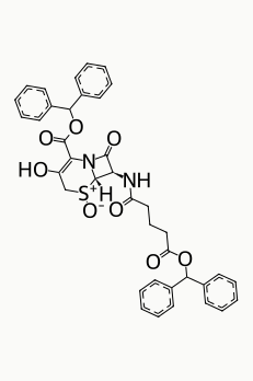 O=C(CCCC(=O)OC(c1ccccc1)c1ccccc1)N[C@@H]1C(=O)N2C(C(=O)OC(c3ccccc3)c3ccccc3)=C(O)C[S+]([O-])[C@@H]12